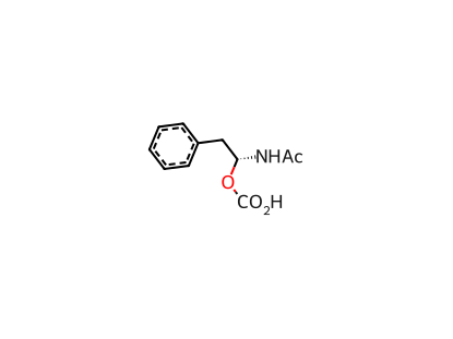 CC(=O)N[C@@H](Cc1ccccc1)OC(=O)O